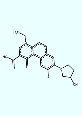 CCn1cc(C(=O)O)c(=O)c2c3cc(F)c(N4CCC(O)C4)cc3ncc21